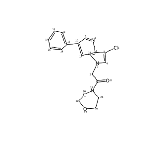 O=C(Cn1cc(Cl)c2ncc(-c3ccccc3)cc21)N1CCOCC1